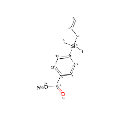 C=CC[Si](C)(C)c1ccc(C(=O)OC)cc1